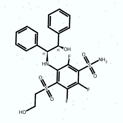 NS(=O)(=O)c1c(F)c(F)c(S(=O)(=O)CCO)c(N[C@@H](c2ccccc2)[C@H](O)c2ccccc2)c1F